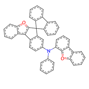 c1ccc(N(c2ccc3c(c2)C2(c4ccccc4-c4ccccc42)c2oc4ccccc4c2-3)c2cccc3c2oc2ccccc23)cc1